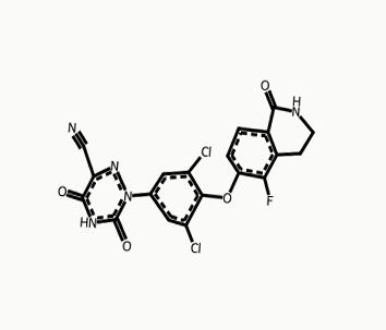 N#Cc1nn(-c2cc(Cl)c(Oc3ccc4c(c3F)CCNC4=O)c(Cl)c2)c(=O)[nH]c1=O